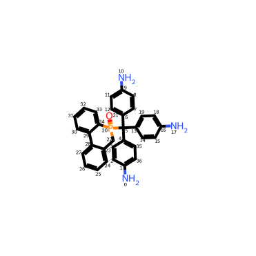 Nc1ccc(C(c2ccc(N)cc2)(c2ccc(N)cc2)P2(=O)Cc3ccccc3-c3ccccc32)cc1